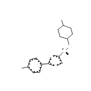 O=C(O)C1CCC(NS(=O)(=O)c2cnc(-c3ccc(F)cc3)s2)CC1